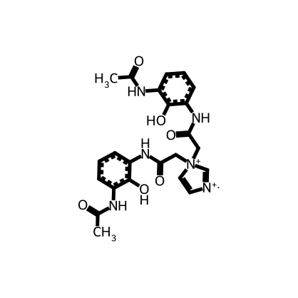 CC(=O)Nc1cccc(NC(=O)C[N+]2(CC(=O)Nc3cccc(NC(C)=O)c3O)C=C[N+]=C2)c1O